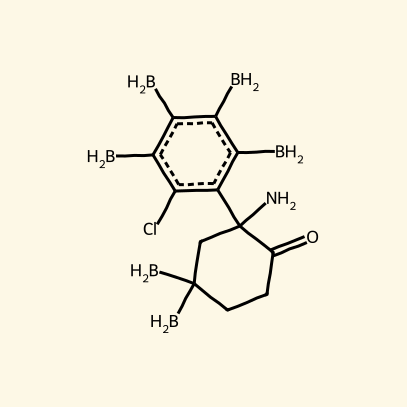 Bc1c(B)c(B)c(C2(N)CC(B)(B)CCC2=O)c(Cl)c1B